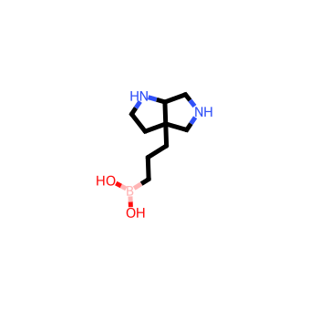 OB(O)CCCC12CCNC1CNC2